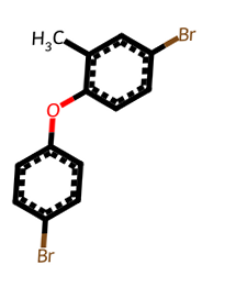 Cc1cc(Br)ccc1Oc1ccc(Br)cc1